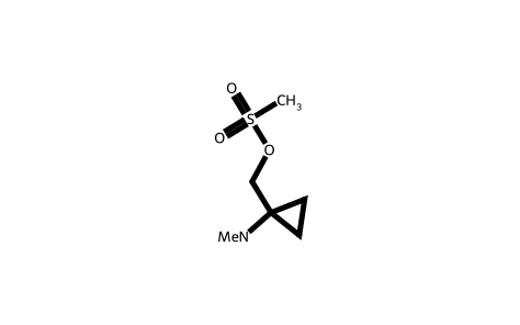 CNC1(COS(C)(=O)=O)CC1